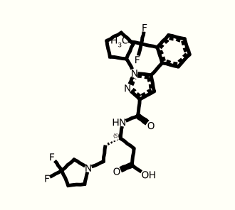 CC(F)(F)c1ccccc1-c1cc(C(=O)N[C@@H](CCN2CCC(F)(F)C2)CC(=O)O)nn1C1CCCC1